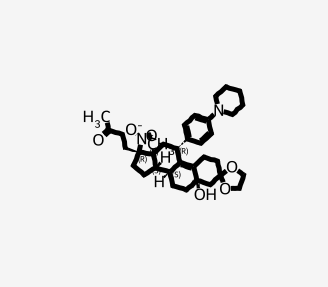 CC(=O)CC[C@]1([N+](=O)[O-])CC[C@H]2[C@@H]3CC[C@@]4(O)CC5(CCC4=C3[C@@H](c3ccc(N4CCCCC4)cc3)C[C@@]21C)OCCO5